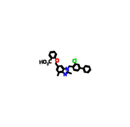 Cc1cc(COc2ccccc2C(=O)O)cc2c1nc(C)n2Cc1ccc(-c2ccccc2)cc1Cl